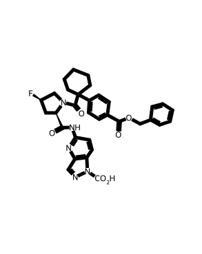 O=C(OCc1ccccc1)c1ccc(C2(C(=O)N3C[C@H](F)C[C@@H]3C(=O)Nc3ccc4c(cnn4C(=O)O)n3)CCCCC2)cc1